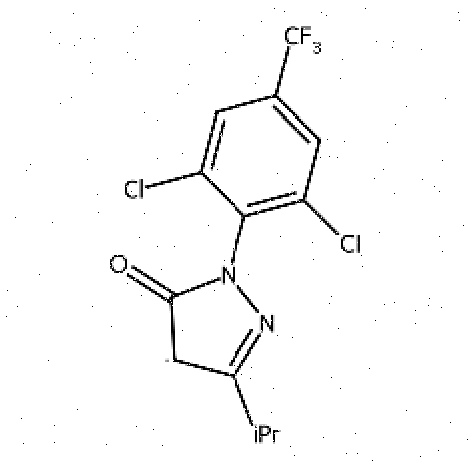 CC(C)C1=NN(c2c(Cl)cc(C(F)(F)F)cc2Cl)C(=O)[CH]1